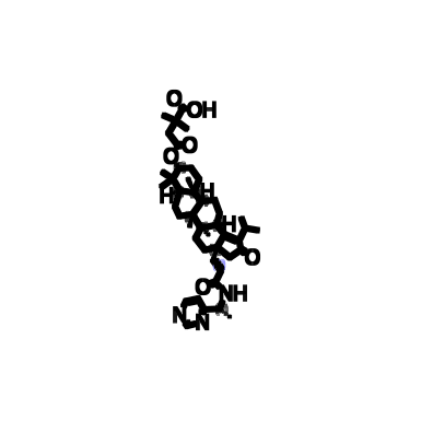 CC(C)C1=C2[C@H]3CC[C@@H]4[C@@]5(C)CC[C@H](OC(=O)CC(C)(C)C(=O)O)C(C)(C)[C@@H]5CC[C@@]4(C)[C@]3(C)CC[C@@]2(/C=C/C(=O)N[C@H](C)c2ccncn2)CC1=O